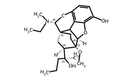 CCC[C@](C)(O)[C@H]1C[C@@]23CC[C@@]1(OC)[C@@H]1Oc4c(O)ccc(c4C12)C[C@H]3N(C)CC